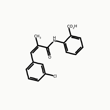 CC(=Cc1cccc(Cl)c1)C(=O)Nc1ccccc1C(=O)O